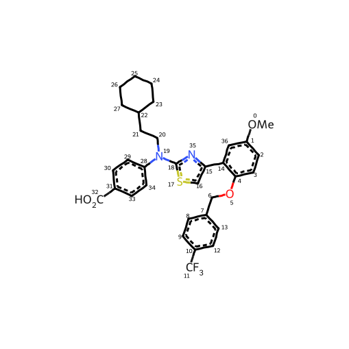 COc1ccc(OCc2ccc(C(F)(F)F)cc2)c(-c2csc(N(CCC3CCCCC3)c3ccc(C(=O)O)cc3)n2)c1